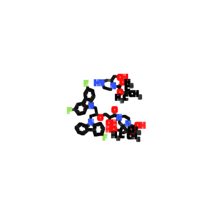 CC(C)(C)OC(=O)N1CCNCC1CO.CC(C)(C)[C@]1(CO)CN(C(=O)C(O)COC(Cn2c3ccccc3c3cc(F)ccc32)Cn2c3ccc(F)cc3c3cc(F)ccc32)CCN1C(=O)O